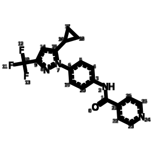 O=C(Nc1ccc(-n2nc(C(F)(F)F)cc2C2CC2)cc1)c1ccncc1